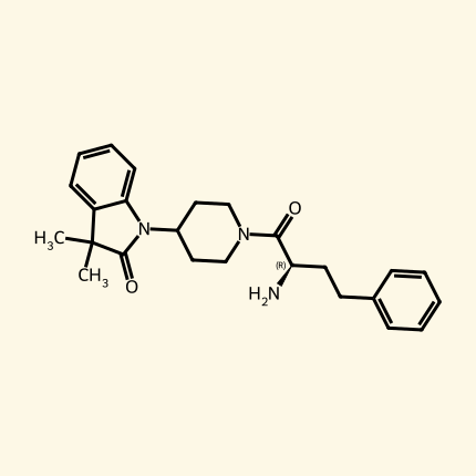 CC1(C)C(=O)N(C2CCN(C(=O)[C@H](N)CCc3ccccc3)CC2)c2ccccc21